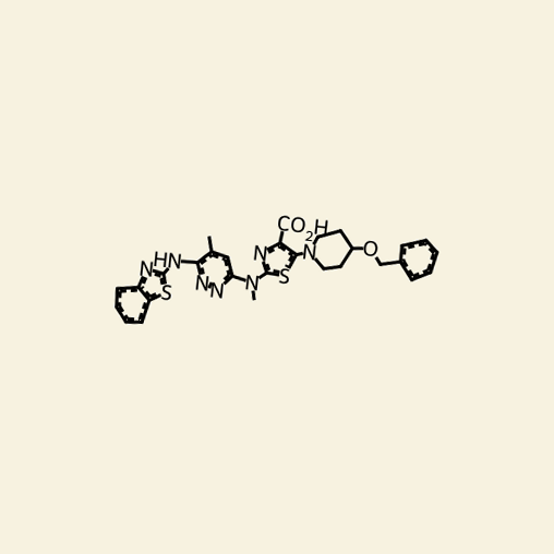 Cc1cc(N(C)c2nc(C(=O)O)c(N3CCC(OCc4ccccc4)CC3)s2)nnc1Nc1nc2ccccc2s1